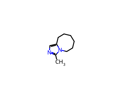 Cc1ncc2n1CCCCCC2